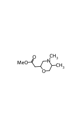 COC(=O)CC1CN(C)C(C)CO1